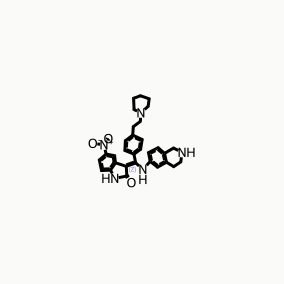 O=C1Nc2ccc([N+](=O)[O-])cc2/C1=C(/Nc1ccc2c(c1)CCNC2)c1ccc(CCN2CCCCC2)cc1